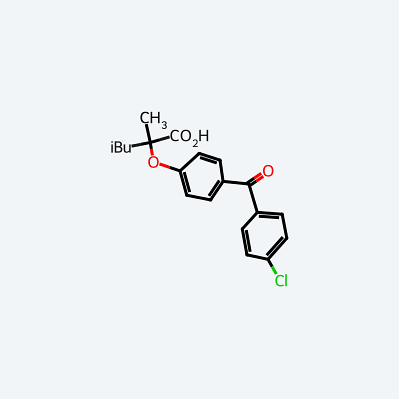 CCC(C)C(C)(Oc1ccc(C(=O)c2ccc(Cl)cc2)cc1)C(=O)O